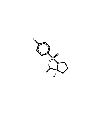 [CH2][C@@]1(C(F)F)CCCN1S(=O)(=O)c1ccc(F)cc1